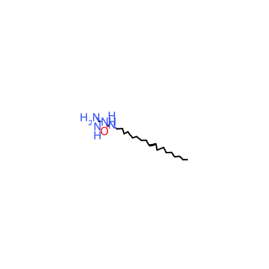 CCCCCCCCC=CCCCCCCCCNC(=O)NC(=N)N